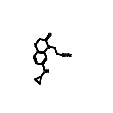 CC(=O)NCCN1C(=O)CSc2ccc(NC3CC3)cc21